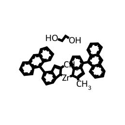 CC1=Cc2c(-c3c4ccccc4cc4ccccc34)cccc2[CH]1[Zr][CH]1C(C)=Cc2c(-c3c4ccccc4cc4ccccc34)cccc21.OCCO